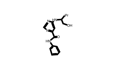 CC(C)C(CO)Nc1cc(C(=O)Nc2ccccc2)ncn1